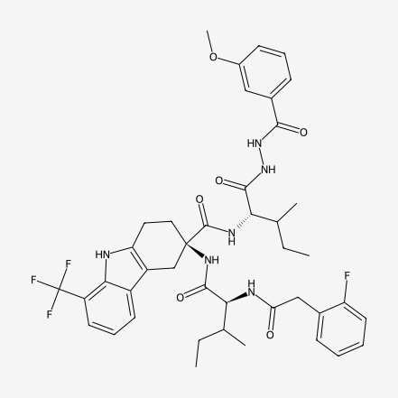 CCC(C)[C@H](NC(=O)Cc1ccccc1F)C(=O)N[C@]1(C(=O)N[C@H](C(=O)NNC(=O)c2cccc(OC)c2)C(C)CC)CCc2[nH]c3c(C(F)(F)F)cccc3c2C1